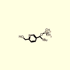 C[SiH](C)OC(c1ccc(CO)nc1)C(C)(C)C